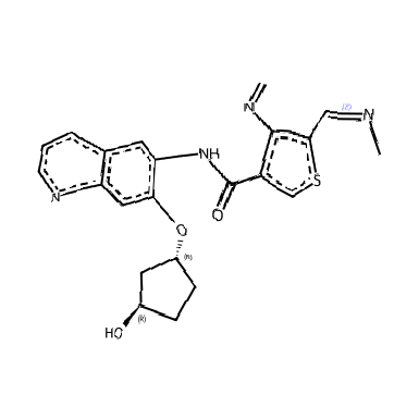 C=Nc1c(C(=O)Nc2cc3cccnc3cc2O[C@@H]2CC[C@@H](O)C2)csc1/C=N\C